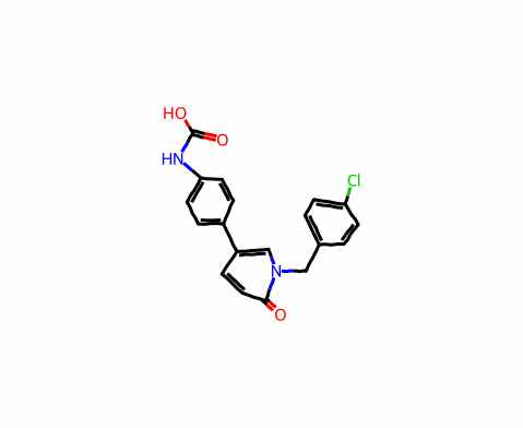 O=C(O)Nc1ccc(-c2ccc(=O)n(Cc3ccc(Cl)cc3)c2)cc1